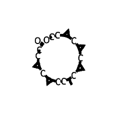 CC1CCC2CC2CC2CC2CCC(=O)OCCC2CC2CC2CC2CC2CC2C1